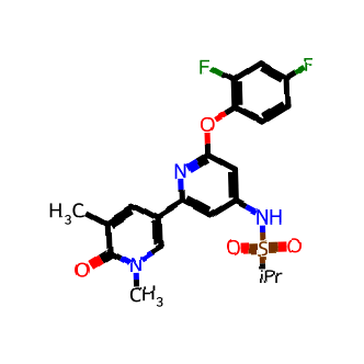 Cc1cc(-c2cc(NS(=O)(=O)C(C)C)cc(Oc3ccc(F)cc3F)n2)cn(C)c1=O